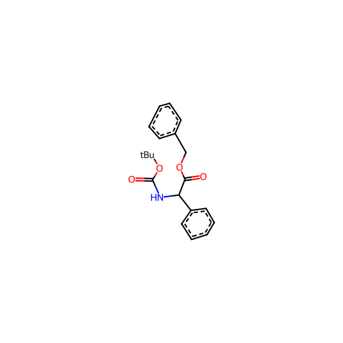 CC(C)(C)OC(=O)NC(C(=O)OCc1ccccc1)c1ccccc1